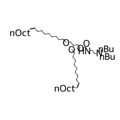 CCCCCCCC/C=C\CCCCCCCCOCC(COC(=O)NCCN(CCCC)CCCC)OCCCCCCCC/C=C\CCCCCCCC